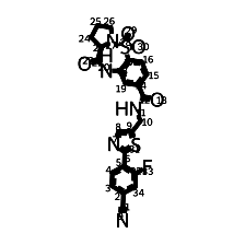 N#Cc1ccc(-c2ncc(CNC(=O)c3ccc4c(c3)NC(=O)C3CCCN3S4(=O)=O)s2)c(F)c1